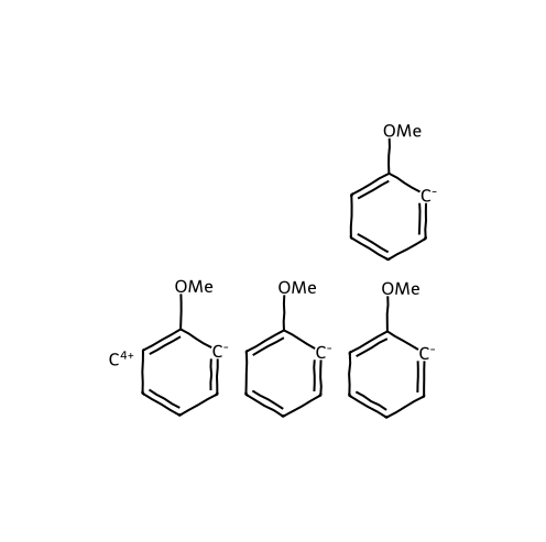 COc1[c-]cccc1.COc1[c-]cccc1.COc1[c-]cccc1.COc1[c-]cccc1.[C+4]